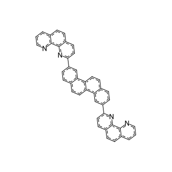 c1cnc2c(c1)ccc1ccc(-c3ccc4ccc5c6cc(-c7ccc8ccc9cccnc9c8n7)ccc6ccc5c4c3)nc12